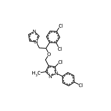 Cc1nn(-c2ccc(Cl)cc2)c(Cl)c1COC(Cn1ccnc1)c1ccc(Cl)cc1Cl